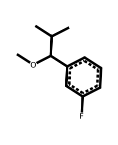 COC([C](C)C)c1cccc(F)c1